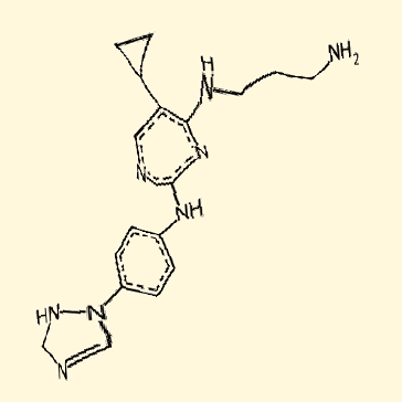 NCCCNc1nc(Nc2ccc(N3C=NCN3)cc2)ncc1C1CC1